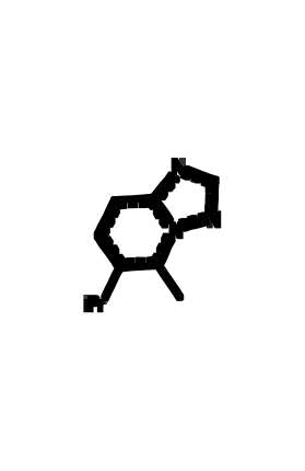 Cc1c(C(C)C)ccc2ncnn12